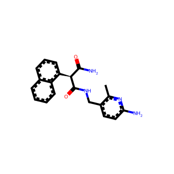 Cc1nc(N)ccc1CNC(=O)[C@H](C(N)=O)c1cccc2ccccc12